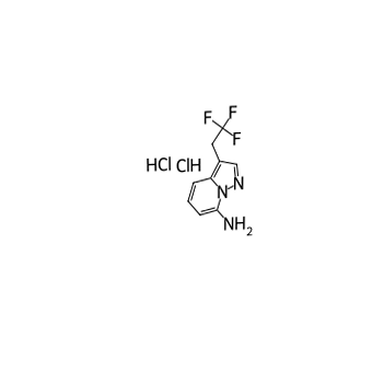 Cl.Cl.Nc1cccc2c(CC(F)(F)F)cnn12